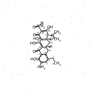 CCc1cc(N)c(O)c2c1C[C@H]1C[C@H]3[C@H](N(C)C)C(O)=C(C(N)=O)C(=O)[C@@]3(O)C(O)=C1C2=O